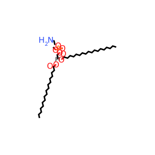 CCCCCCCCCCCCCCCCCC(=O)OC[C@H](COP(=O)(OC)OCCN)OC(=O)CCCCCCCCCCCCCCCCC